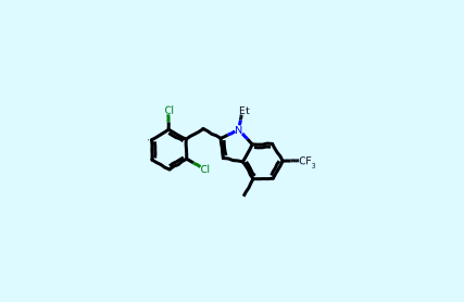 CCn1c(Cc2c(Cl)[c]ccc2Cl)cc2c(C)cc(C(F)(F)F)cc21